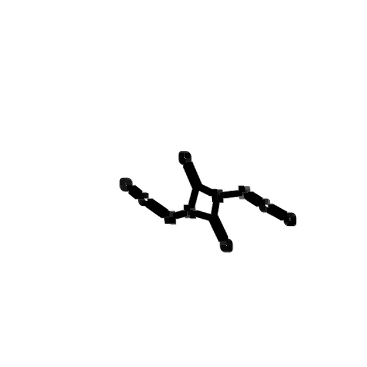 O=C=NN1C(=O)N(N=C=O)C1=O